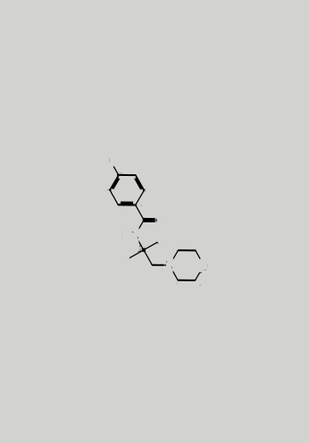 CCc1ccc(C(=O)NC(C)(C)CN2CCOCC2)cc1